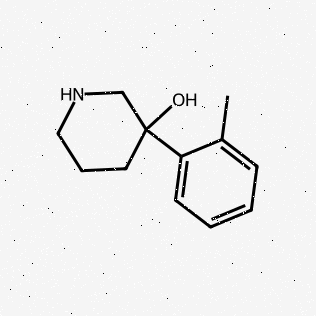 Cc1ccccc1C1(O)CCCNC1